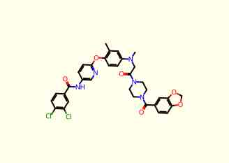 Cc1cc(N(C)CC(=O)N2CCN(C(=O)c3ccc4c(c3)OCO4)CC2)ccc1Oc1ccc(NC(=O)c2ccc(Cl)c(Cl)c2)cn1